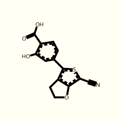 N#Cc1sc(-c2ccc(C(=O)O)c(O)c2)c2c1OCC2